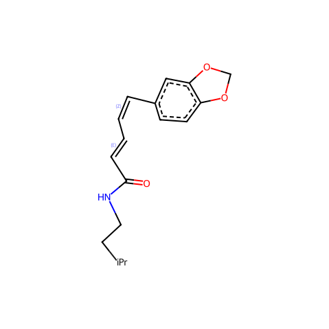 CC(C)CCNC(=O)/C=C/C=C\c1ccc2c(c1)OCO2